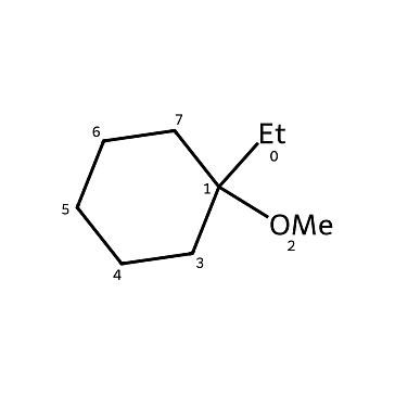 CCC1(OC)CCCCC1